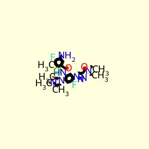 CCN(CC)C(=O)c1cn(-c2cc(NC(=O)c3cc(N)c(F)c(C)c3Cl)c(N3C[C@@H](C)N(C)[C@@H](C)C3)cc2F)nn1